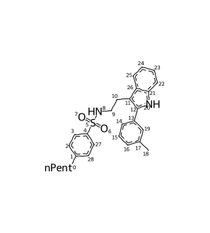 CCCCCc1ccc(S(=O)(=O)NCCc2c(-c3cccc(C)c3)[nH]c3ccccc23)cc1